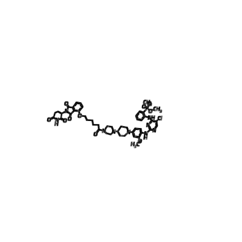 COc1cc(N2CCC(N3CCN(C(=O)CCCCCOc4cccc5c4C(=O)N(C4CCC(=O)NC4=O)C5=O)CC3)CC2)ccc1Nc1ncc(Cl)c(Nc2ccccc2P(=O)(OC)OC)n1